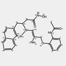 CC(=O)Nc1ccccc1OC/C(N)=C/N(N)C(CC(=O)NO)Cc1ccc2ccccc2c1